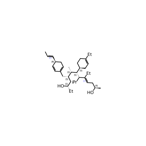 C/C=C/[C@@H]1C=CC(C[C@@H](C[C@@H](O)CC)[C@H](C)[C@@H](C(/C(=C/C[C@@H](C)O)CC)C(C)C)[C@@H]2CC=C(CC)CC2)=CC1